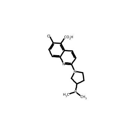 CN(C)C1CCN(c2ccc3c(C(=O)O)c(Cl)ccc3n2)C1